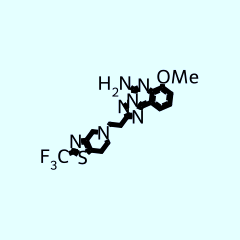 COc1cccc2c1nc(N)n1nc(CCN3CCc4sc(C(F)(F)F)nc4C3)nc21